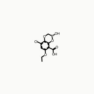 CCOc1cc(Cl)c2c(c1C(=O)O)OB(O)CO2